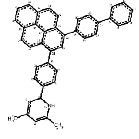 CC1=CC(C)=NC(c2ccc(-c3cc(-c4ccc(-c5ccccc5)cc4)c4ccc5cccc6ccc3c4c56)cc2)N1